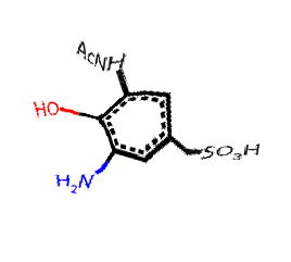 CC(=O)Nc1cc(S(=O)(=O)O)cc(N)c1O